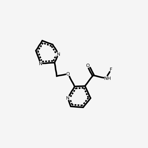 O=C(NF)c1cccnc1OCc1ncccn1